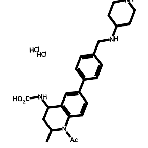 CC(=O)N1c2ccc(-c3ccc(CNC4CCNCC4)cc3)cc2C(NC(=O)O)CC1C.Cl.Cl